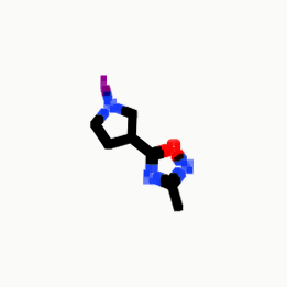 Cc1noc(C2CCN(I)C2)n1